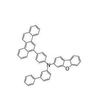 c1ccc(-c2cccc(N(c3ccc(-c4cc5c6ccccc6ccc5c5ccccc45)cc3)c3ccc4c(c3)oc3ccccc34)c2)cc1